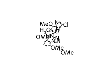 COCCCc1nnc(N[S+]([O-])[C@@H](C)C(OC)c2ncc(Cl)cn2)n1-c1c(OC)cccc1OC